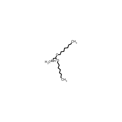 CCCCCCCCOC(CNC)OCCCCCCCC